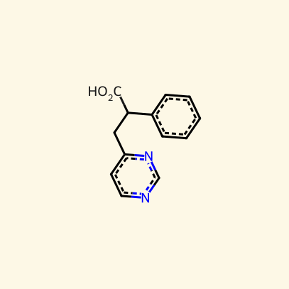 O=C(O)C(Cc1ccncn1)c1ccccc1